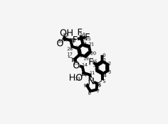 Cc1ccc(C[C@@H]2CCCN2C[C@@H](O)CO[C@H](C)c2cccc(C(F)(F)F)c2CCC(=O)O)cc1F